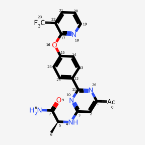 CC(=O)c1cc(N[C@@H](C)C(N)=O)nc(-c2ccc(Oc3ncccc3C(F)(F)F)cc2)n1